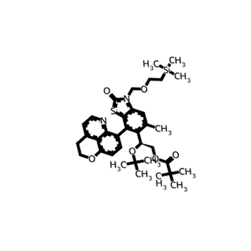 Cc1cc2c(sc(=O)n2COCC[Si](C)(C)C)c(-c2ccc3c4c(ccnc24)CCO3)c1[C@@H](COC(=O)C(C)(C)C)OC(C)(C)C